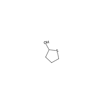 OC1CCCS1